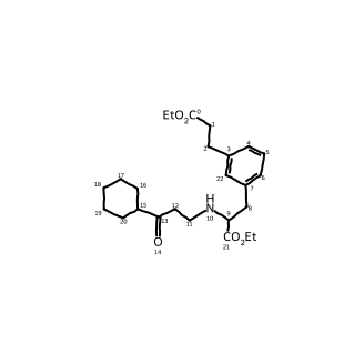 CCOC(=O)CCc1cccc(CC(NCCC(=O)C2CCCCC2)C(=O)OCC)c1